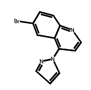 Brc1ccc2nccc(-n3cccn3)c2c1